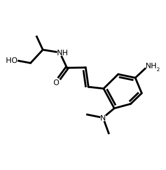 CC(CO)NC(=O)C=Cc1cc(N)ccc1N(C)C